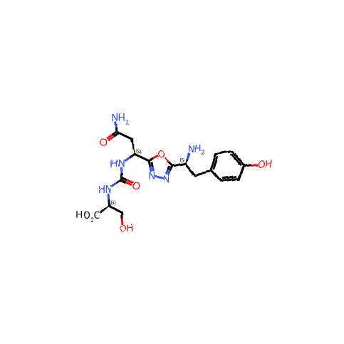 NC(=O)C[C@H](NC(=O)N[C@@H](CO)C(=O)O)c1nnc([C@@H](N)Cc2ccc(O)cc2)o1